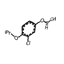 CC(C)Oc1ccc(OBO)cc1Cl